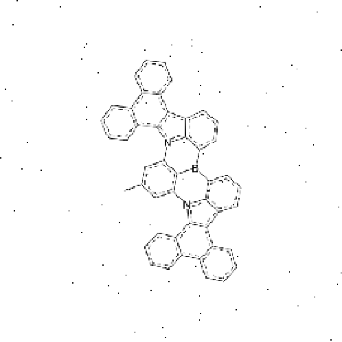 Cc1cc2c3c(c1)-n1c4c(cccc4c4c5ccccc5c5ccccc5c41)B3c1cccc3c4c5ccccc5c5ccccc5c4n-2c13